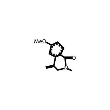 C=C1CN(C)C(=O)c2ccc(OC)cc21